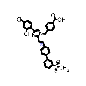 CS(=O)(=O)c1cccc(-c2ccc(/C=C/c3nc(-c4ccc(Cl)cc4Cl)cn3Cc3ccc(C(=O)O)cc3)cc2)c1